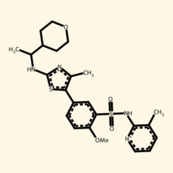 COc1ccc(-c2sc(NC(C)C3CCOCC3)nc2C)cc1S(=O)(=O)Nc1ncccc1C